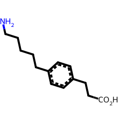 NCCCCCc1ccc(CCC(=O)O)cc1